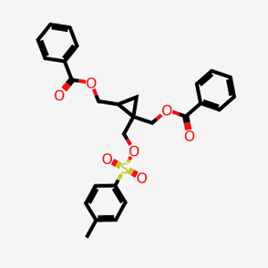 Cc1ccc(S(=O)(=O)OCC2(COC(=O)c3ccccc3)CC2COC(=O)c2ccccc2)cc1